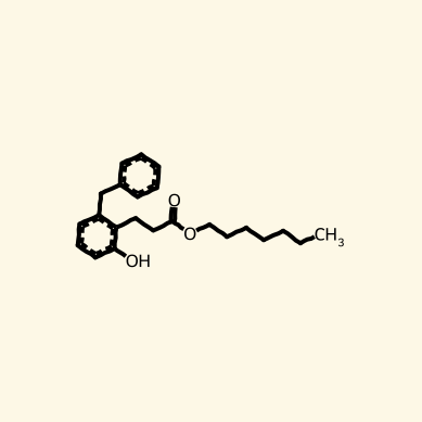 CCCCCCCOC(=O)CCc1c(O)cccc1Cc1ccccc1